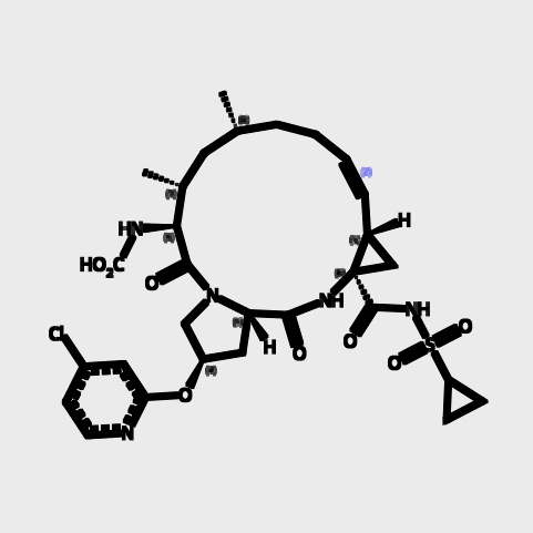 C[C@@H]1CC/C=C\[C@@H]2C[C@@]2(C(=O)NS(=O)(=O)C2CC2)NC(=O)[C@@H]2C[C@@H](Oc3cc(Cl)ccn3)CN2C(=O)[C@@H](NC(=O)O)[C@H](C)C1